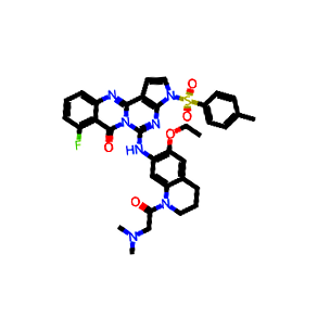 CCOc1cc2c(cc1Nc1nc3c(ccn3S(=O)(=O)c3ccc(C)cc3)c3nc4cccc(F)c4c(=O)n13)N(C(=O)CN(C)C)CCC2